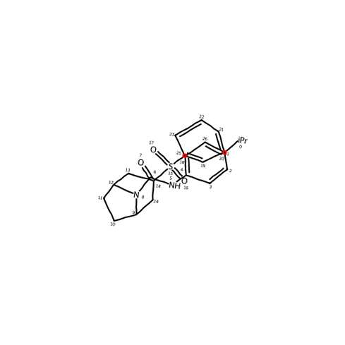 CC(C)c1ccc(NC(=O)N2C3CCC2CC(S(=O)(=O)c2ccccc2)C3)cc1